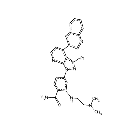 CC(C)c1nn(-c2ccc(C(N)=O)c(NCCN(C)C)c2)c2nccc(-c3cnc4ccccc4c3)c12